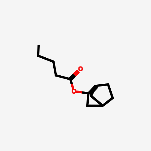 CCCCC(=O)OC1=C2CCC(C2)C1